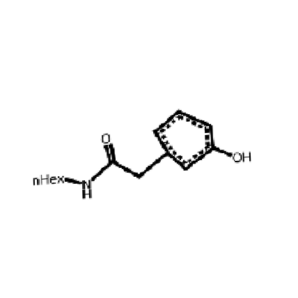 CCCCCCNC(=O)Cc1cccc(O)c1